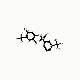 CC(C)(C)c1cccc(S(=O)(=O)Nc2cc(F)c(C(F)(F)F)cc2I)c1